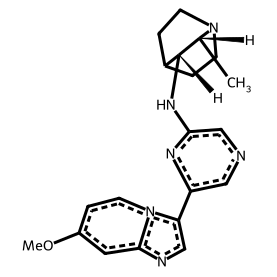 COc1ccn2c(-c3cncc(N[C@@H]4C5CCN(CC5)[C@@H]4C)n3)cnc2c1